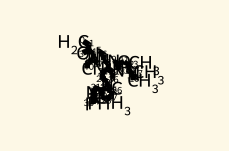 C=CC(=O)N1CCN(c2nc(O[C@H](C)CN(C)C)nc3c2CCN(c2c(C)ccc4c2cnn4PI)C3)CC1CC#N